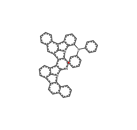 c1ccc(N(c2ccccc2)c2cccc3c4c5ccccc5cc5c6c7c8cccc9c%10ccc%11ccccc%11c%10n(c7ncc6n(c23)c54)c98)cc1